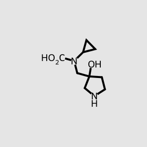 O=C(O)N(CC1(O)CCNC1)C1CC1